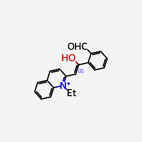 CC[n+]1c(/C=C(\O)c2ccccc2C=O)ccc2ccccc21